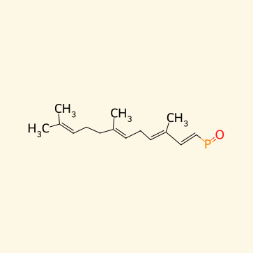 CC(C)=CCC/C(C)=C/C/C=C(C)/C=C/P=O